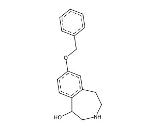 OC1CNCCc2cc(OCc3ccccc3)ccc21